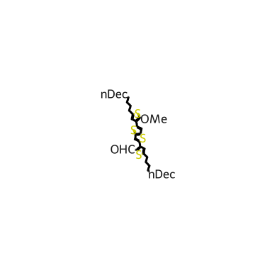 CCCCCCCCCCCCCCc1cc(-c2cc3sc(-c4cc(CCCCCCCCCCCCCC)sc4OC)cc3s2)c(C=O)s1